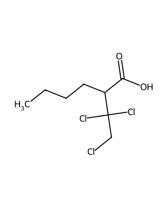 CCCCC(C(=O)O)C(Cl)(Cl)CCl